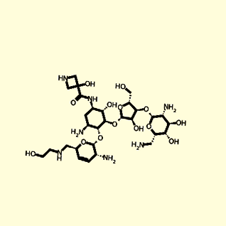 NC[C@@H]1O[C@H](O[C@H]2[C@@H](O)[C@H](O[C@@H]3[C@@H](O)[C@H](NC(=O)C4(O)CNC4)C[C@H](N)[C@H]3O[C@H]3O[C@H](CNCCO)C=C[C@H]3N)O[C@@H]2CO)[C@H](N)[C@@H](O)[C@@H]1O